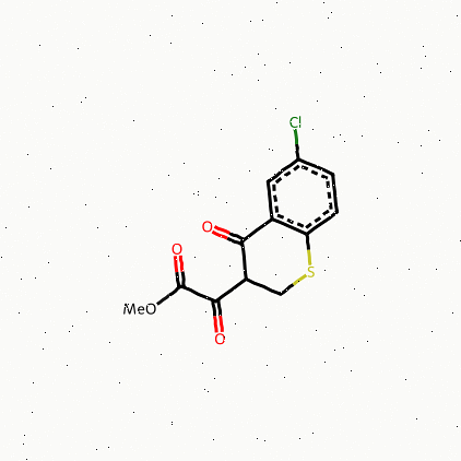 COC(=O)C(=O)C1CSc2ccc(Cl)cc2C1=O